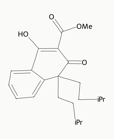 COC(=O)C1=C(O)c2ccccc2C(CCC(C)C)(CCC(C)C)C1=O